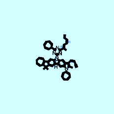 C#C/C=C\c1c(C)n(C2=CC=CCC=C2)c2c1=CC1[C@@H](C=2)[C@@H]2C=C3C(=CC2N1c1nc(/C(C)=C/C=C\C=C)nc(C2C=CC=CC=C2)n1)C1=C(C=CCC=C1)C3(C)C